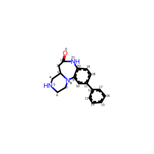 O=C1CC2CNCCN2c2cc(-c3ccccc3)ccc2N1